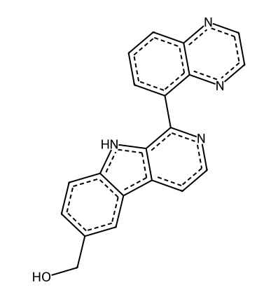 OCc1ccc2[nH]c3c(-c4cccc5nccnc45)nccc3c2c1